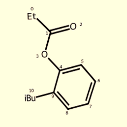 CCC(=O)Oc1ccccc1C(C)CC